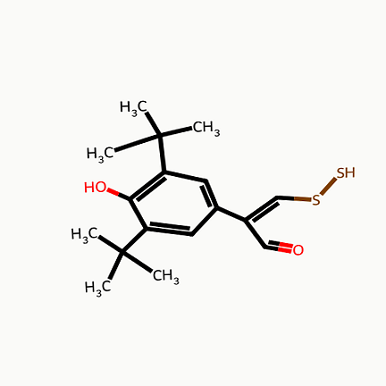 CC(C)(C)c1cc(/C(C=O)=C/SS)cc(C(C)(C)C)c1O